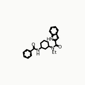 CCN(C(=O)c1cc2ccccc2[nH]1)C1CCCC(NC(=O)c2ccccc2)C1